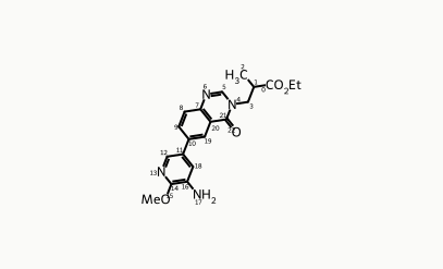 CCOC(=O)C(C)Cn1cnc2ccc(-c3cnc(OC)c(N)c3)cc2c1=O